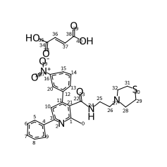 Cc1nc(-c2ccccc2)cc(-c2cccc([N+](=O)[O-])c2)c1C(=O)NCCN1CCSCC1.O=C(O)/C=C/C(=O)O